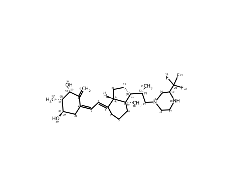 C=C1C(=CC=C2CCC[C@]3(C)[C@@H]([C@H](C)CN4CCNC(C(F)(F)F)C4)CC[C@@H]23)C[C@@H](O)[C@H](C)[C@@H]1O